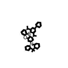 CC(C)c1cc(-c2ccccc2)cc(C(C)C)c1B1c2ccccc2Oc2cc(N3c4ccccc4C(C)(C)c4ccccc43)ccc21